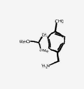 COC(C)OC.NCc1ccc(C=O)cc1